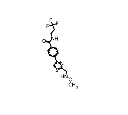 CONCc1nc(-c2ccc(C(=O)NCCC(F)(F)F)cc2)cs1